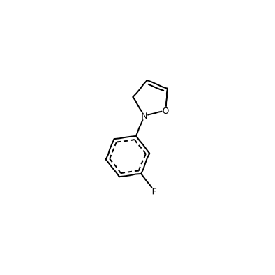 Fc1cccc(N2CC=CO2)c1